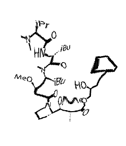 CC[C@H](C)[C@@H]([C@@H](CC(=O)N1CCC[C@H]1[C@H](OC)[C@@H](C)C(=O)OC[C@@H](O)Cc1ccccc1)OC)N(C)C(=O)[C@@H](NC(=O)[C@H](C(C)C)N(C)C)[C@@H](C)CC